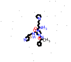 C[C@@H]1N=C(N2CCN(C(=O)[C@H](N)CCCCN3CCCCC3)[C@H](C(=O)NCc3cc4cnccc4s3)C2)OC1C1=CCCC=C1